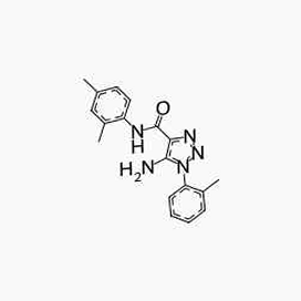 Cc1ccc(NC(=O)c2nnn(-c3ccccc3C)c2N)c(C)c1